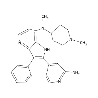 CN1CCC(N(C)c2ccnc3c(-c4ccccn4)c(-c4ccnc(N)c4)[nH]c23)CC1